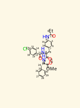 CCC(=O)Nc1ccc(C[C@H](NC(=O)c2ccc(Cl)cc2)C(=O)N[C@@H](Cc2ccccc2)C(=O)OC)cc1